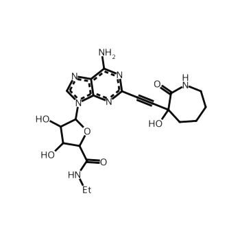 CCNC(=O)C1OC(n2cnc3c(N)nc(C#CC4(O)CCCCNC4=O)nc32)C(O)C1O